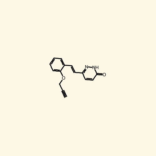 C#CCOc1ccccc1C=Cc1ccc(=O)[nH]n1